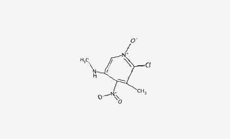 CNc1c[n+]([O-])c(Cl)c(C)c1[N+](=O)[O-]